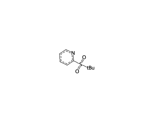 CC(C)(C)S(=O)(=O)c1ccccn1